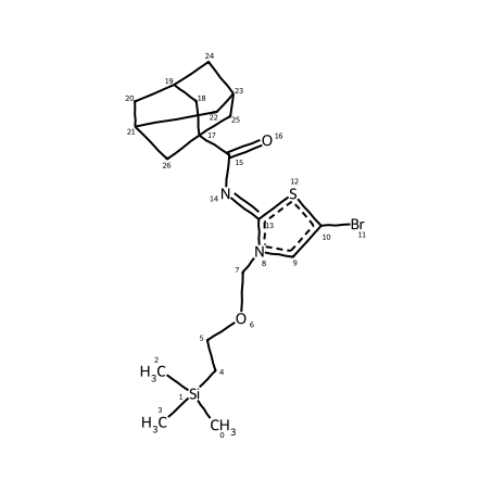 C[Si](C)(C)CCOCn1cc(Br)sc1=NC(=O)C12CC3CC(CC(C3)C1)C2